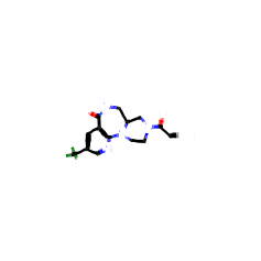 C=CC(=O)N1CCN2c3ncc(C(F)(F)F)cc3C(=O)NCC2C1